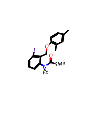 CCN(C(=O)SC)c1cccc(I)c1COc1ccc(C)cc1C